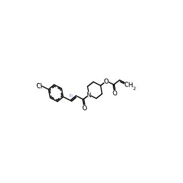 C=CC(=O)OC1CCN(C(=O)/C=C/c2ccc(Cl)cc2)CC1